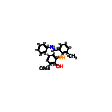 COc1cccc(Pc2c(C)cccc2/C=N/c2ccccc2)c1O